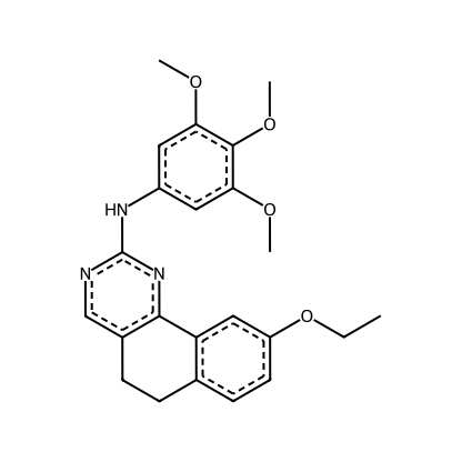 CCOc1ccc2c(c1)-c1nc(Nc3cc(OC)c(OC)c(OC)c3)ncc1CC2